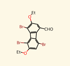 CCOc1cc(Br)c2c(c1Br)-c1c(Br)c(OCC)cc(C=O)c1-2